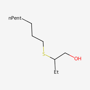 CCCCCCCCSC(CC)CO